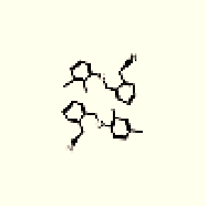 Cc1ccc(OCc2ccccc2CC#N)c(C)c1.Cc1cccc(OCc2ccccc2CC#N)c1C